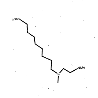 CCCCCCCCCCCCCCCCCN(C)CCNC